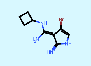 N=C1NC=C(Br)/C1=C(/N)NC1CCC1